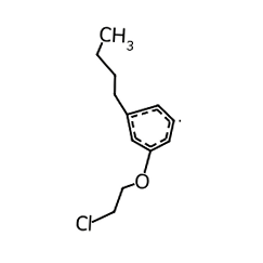 CCCCc1c[c]cc(OCCCl)c1